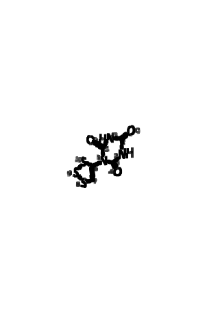 O=c1[nH]c(=O)n(C2=CSSS2)c(=O)[nH]1